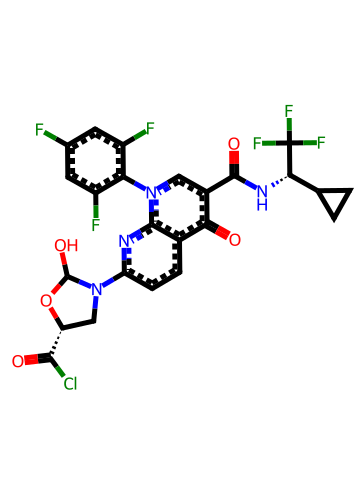 O=C(N[C@@H](C1CC1)C(F)(F)F)c1cn(-c2c(F)cc(F)cc2F)c2nc(N3C[C@H](C(=O)Cl)OC3O)ccc2c1=O